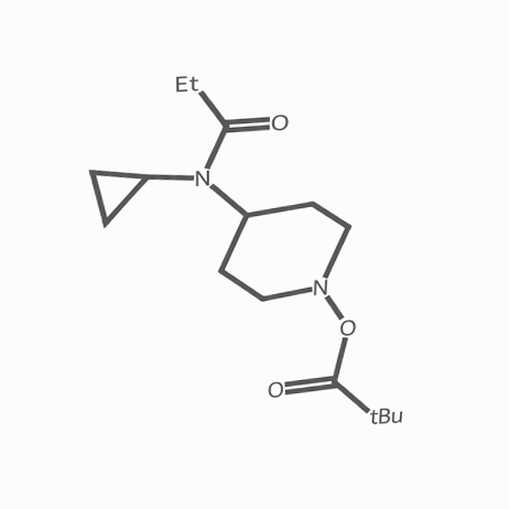 CCC(=O)N(C1CC1)C1CCN(OC(=O)C(C)(C)C)CC1